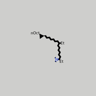 CCCCCCCC[C@@H]1C[C@@H]1CCCCCCCC(CC)CCCCCCC(CC)N(C)C